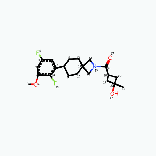 COc1cc(F)cc(C2CCC3(CC2)CN(C(=O)C2CC(C)(O)C2)C3)c1F